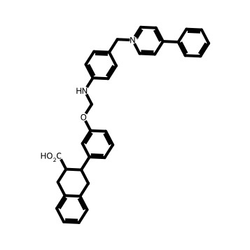 O=C(O)C1Cc2ccccc2CC1c1cccc(OCNc2ccc(C[n+]3ccc(-c4ccccc4)cc3)cc2)c1